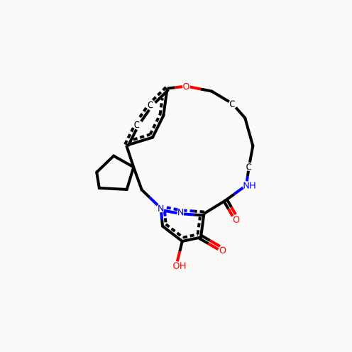 O=C1NCCCCCOc2ccc(cc2)C2(CCCC2)Cn2cc(O)c(=O)c1n2